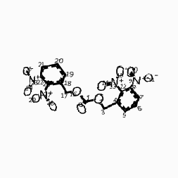 O=C(OCc1cccc([N+](=O)[O-])c1[N+](=O)[O-])OCc1cccc([N+](=O)[O-])c1[N+](=O)[O-]